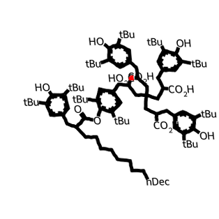 CCCCCCCCCCCCCCCCCCC(Cc1cc(C(C)(C)C)c(O)c(C(C)(C)C)c1)C(=O)Oc1c(C(C)(C)C)cc(CC(CC(CC(Cc2cc(C(C)(C)C)c(O)c(C(C)(C)C)c2)C(=O)O)(CC(Cc2cc(C(C)(C)C)c(O)c(C(C)(C)C)c2)C(=O)O)CC(Cc2cc(C(C)(C)C)c(O)c(C(C)(C)C)c2)C(=O)O)C(=O)O)cc1C(C)(C)C